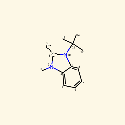 [CH2-][c+]1n(C)c2ccccc2n1C(C)(C)C